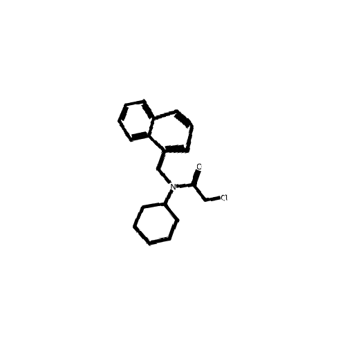 O=C(CCl)N(Cc1cccc2ccccc12)C1CCCCC1